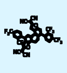 N#CC(C#N)=c1cc2c(cc(-c3ccc(C(F)(F)F)cc3C(F)(F)F)c3ccc4c(cc(-c5ccc(C(F)(F)F)cc5C(F)(F)F)c5cc(=C(C#N)C#N)oc54)c32)o1